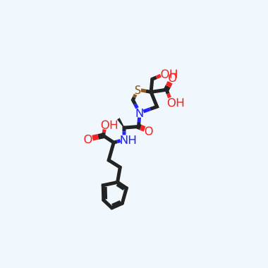 C[C@H](NC(CCc1ccccc1)C(=O)O)C(=O)N1CSC(CO)(C(=O)O)C1